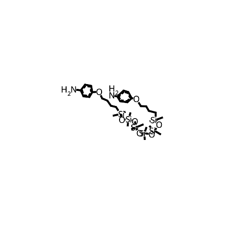 C[Si](C)(CCCCOc1ccc(N)cc1)O[Si](C)(C)O[Si](C)(C)O[Si](C)(C)O[Si](C)(C)O[Si](C)(C)CCCCOc1ccc(N)cc1